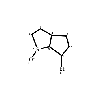 CCC1CCC2CC[S+]([O-])C12